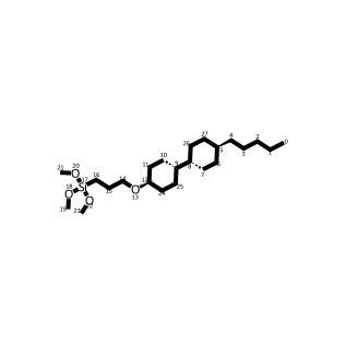 CCCCC[C@H]1CC[C@H]([C@H]2CC[C@H](OCCC[Si](OC)(OC)OC)CC2)CC1